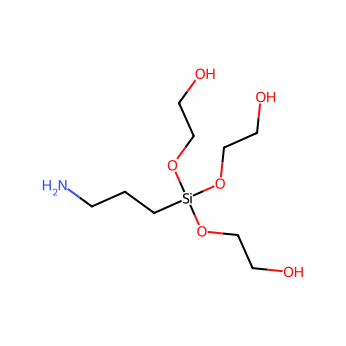 NCCC[Si](OCCO)(OCCO)OCCO